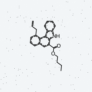 C=CCc1cccc2cc(C(=O)OCCCC)c3[nH]c4ccccc4c3c12